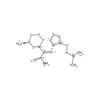 C[C@H]1CC[C@H](c2ccn(CCN(C)C)n2)N(C(=O)C(N)=O)C1